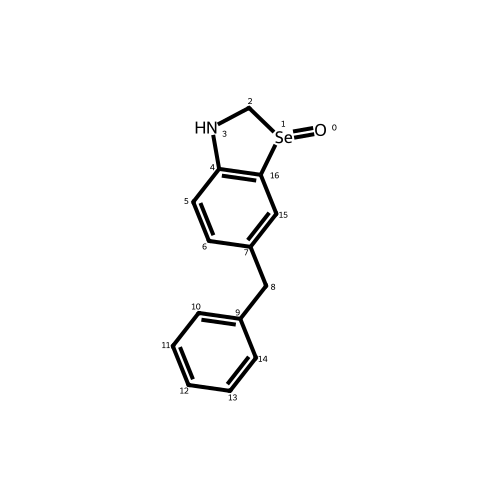 O=[Se]1CNc2ccc(Cc3ccccc3)cc21